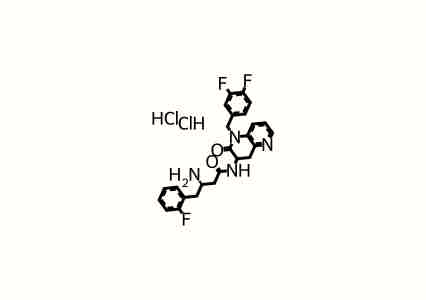 Cl.Cl.N[C@@H](CC(=O)NC1Cc2ncccc2N(Cc2ccc(F)c(F)c2)C1=O)Cc1ccccc1F